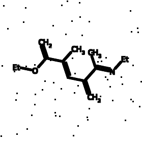 C=C(OCC)/C(C)=C/C(=C)/C(C)=N/CC